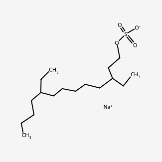 CCCCC(CC)CCCCCC(CC)CCOS(=O)(=O)[O-].[Na+]